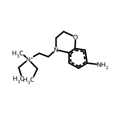 CC[N+](C)(CC)CCN1CCOc2cc(N)ccc21